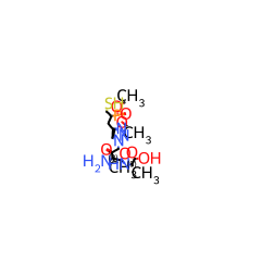 CCOP(=O)(OCC)C(CS)Cc1cn(CC(=O)[C@@](C)(N)C(=O)N[C@@H](C)C(=O)O)nn1